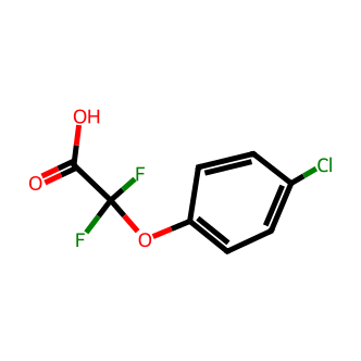 O=C(O)C(F)(F)Oc1ccc(Cl)cc1